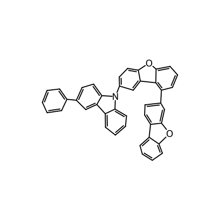 c1ccc(-c2ccc3c(c2)c2ccccc2n3-c2ccc3oc4cccc(-c5ccc6c(c5)oc5ccccc56)c4c3c2)cc1